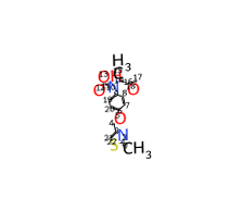 Cc1nc(COc2ccc(N(C(=O)O)C(C)[C@H]3CO3)cc2)cs1